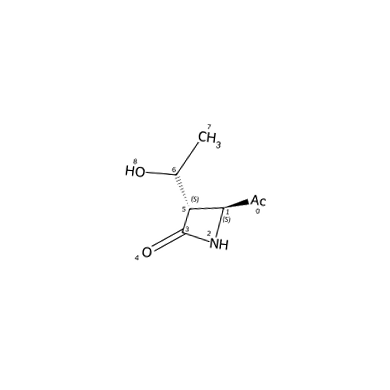 CC(=O)[C@H]1NC(=O)[C@@H]1C(C)O